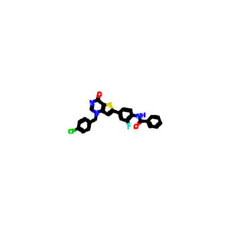 O=C(Nc1ccc(-c2cc3c(s2)c(=O)ncn3Cc2ccc(Cl)cc2)cc1F)c1ccccc1